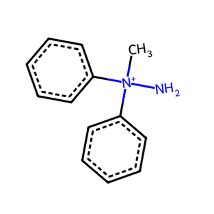 C[N+](N)(c1ccccc1)c1ccccc1